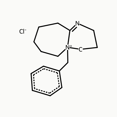 [Cl-].c1ccc(C[N+]23CCCCCC2=NCCC3)cc1